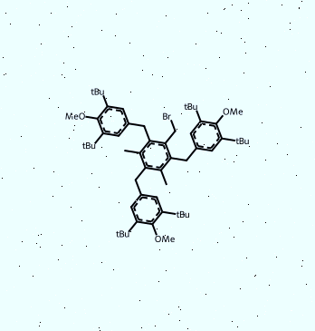 COc1c(C(C)(C)C)cc(Cc2c(C)c(Cc3cc(C(C)(C)C)c(OC)c(C(C)(C)C)c3)c(CBr)c(Cc3cc(C(C)(C)C)c(OC)c(C(C)(C)C)c3)c2C)cc1C(C)(C)C